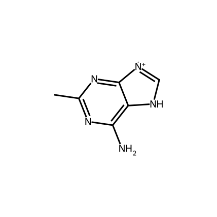 Cc1nc(N)c2c(n1)[N+]=CN2